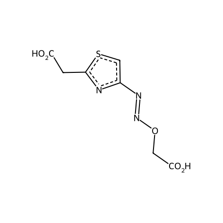 O=C(O)CON=Nc1csc(CC(=O)O)n1